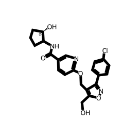 O=C(NC1CCC[C@@H]1O)c1ccc(OCc2c(-c3ccc(Cl)cc3)noc2CO)nc1